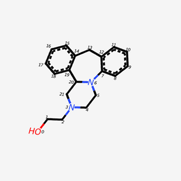 OCCN1CCN2c3ccccc3Cc3ccccc3C2C1